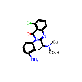 C[C@@H](c1nc2cccc(Cl)c2c(=O)n1-c1cccc(N)c1)N(C(=O)O)C(C)(C)C